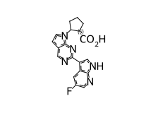 O=C(O)[C@H]1CCCC1n1ccc2cnc(-c3c[nH]c4ncc(F)cc34)nc21